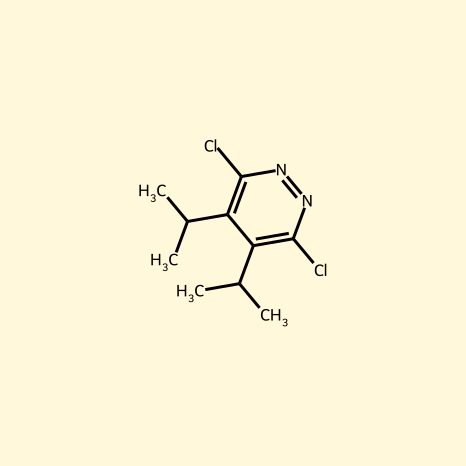 CC(C)c1c(Cl)nnc(Cl)c1C(C)C